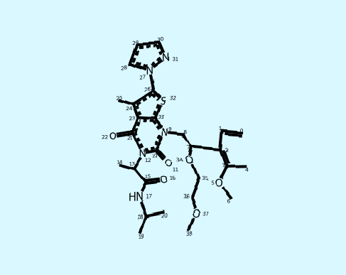 C=C/C(=C(\C)OC)[C@H](Cn1c(=O)n(C(C)C(=O)NC(C)C)c(=O)c2c(C)c(-n3cccn3)sc21)OCCOC